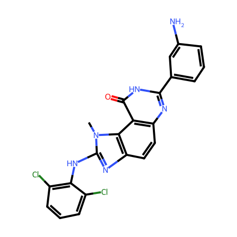 Cn1c(Nc2c(Cl)cccc2Cl)nc2ccc3nc(-c4cccc(N)c4)[nH]c(=O)c3c21